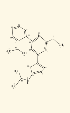 CSc1nc(-c2cnc(NC(C)C)s2)cc(-c2ccccc2C(C)O)n1